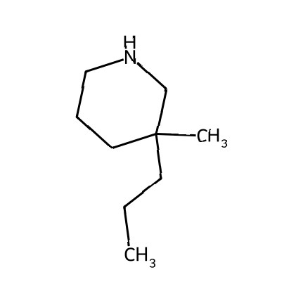 CCCC1(C)CCCNC1